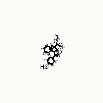 CCOC(=O)C1(C2(O)ON=C(c3ccc(O)cc3)C2c2ccccc2)CC1